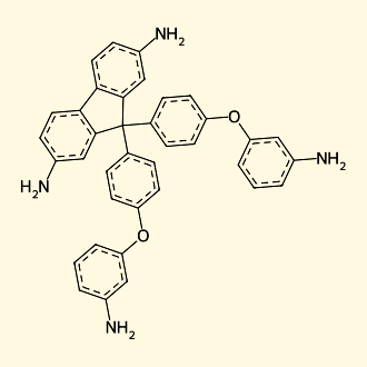 Nc1cccc(Oc2ccc(C3(c4ccc(Oc5cccc(N)c5)cc4)c4cc(N)ccc4-c4ccc(N)cc43)cc2)c1